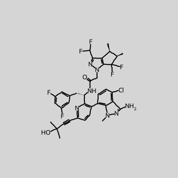 C[C@@H]1c2c(C(F)F)nn(CC(=O)N[C@@H](Cc3cc(F)cc(F)c3)c3nc(C#CC(C)(C)O)ccc3-c3ccc(Cl)c4c(N)nn(C)c34)c2C(F)(F)[C@@H]1C